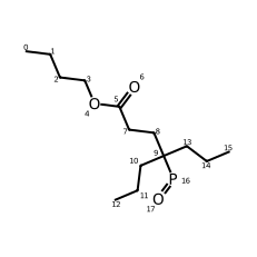 CCCCOC(=O)CCC(CCC)(CCC)P=O